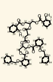 Cc1ccccc1C(=O)OCC(COC(=O)c1ccccc1C)OC(=O)CCC(=O)OC(COC(=O)c1ccccc1OCc1ccccc1)COC(=O)c1ccccc1OCc1ccccc1